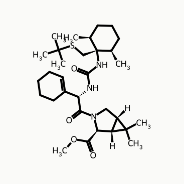 COC(=O)[C@@H]1[C@@H]2[C@H](CN1C(=O)[C@@H](NC(=O)N[C@@]1(CSC(C)(C)C)[C@H](C)CCC[C@@H]1C)C1=CCCCC1)C2(C)C